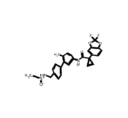 Cc1ccc(NC(=O)C2(c3ccc4c(c3)OC(F)(F)O4)CC2)cc1-c1ccc(CN[S+](C)[O-])cc1